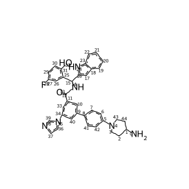 NC1CCN(c2ccc(-c3cc(C(=O)NC(c4cc5ccccc5[nH]4)c4cc(F)ccc4O)cc(-n4ccnc4)c3)cc2)CC1